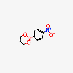 O=[N+]([O-])c1ccc(B2OCCCO2)cc1